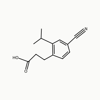 CC(C)c1cc(C#N)ccc1CCC(=O)O